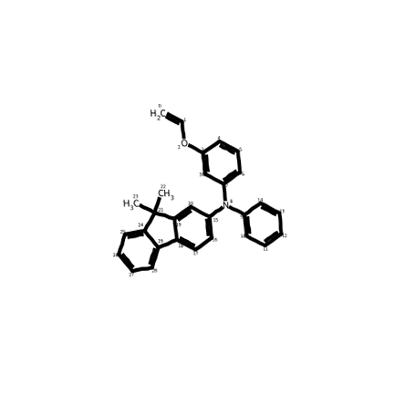 C=COc1cccc(N(c2ccccc2)c2ccc3c(c2)C(C)(C)c2ccccc2-3)c1